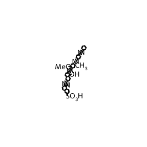 COc1cc(N=Nc2ccc(N=Nc3ccccc3)cc2)c(C)cc1N=Nc1ccc2cc(-n3nc4ccc5cc(S(=O)(=O)O)ccc5c4n3)ccc2c1O